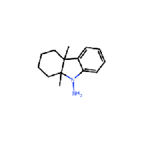 CC12CCCCC1(C)N(N)c1ccccc12